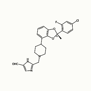 C[C@]1(c2ccc(Cl)cc2F)Oc2cccc(C3CCN(Cc4ncc(C=O)[nH]4)CC3)c2O1